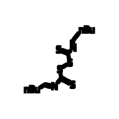 CCCCC=NC(=S)SSC(=S)N=CCCCC